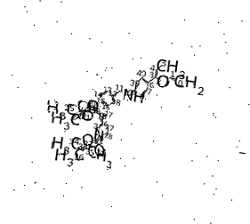 C=CO/C(=C\C)c1ccc(NCc2cccc(CC(C(=O)OC(C)(C)C)C3CCN(C(=O)OC(C)(C)C)C3)c2)cc1